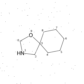 [CH]1NCC2(CCCCC2)O1